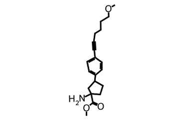 COCCCCC#Cc1ccc(C2CCC(N)(C(=O)OC)C2)cc1